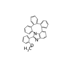 COc1ccccc1-c1nc2cccc3c4ccccc4c4ccccc4c4ccccc4n1c23